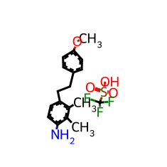 COc1ccc(CCc2ccc(N)c(C)c2C)cc1.O=S(=O)(O)C(F)(F)F